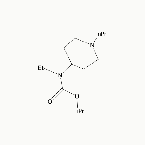 CCCN1CCC(N(CC)C(=O)OC(C)C)CC1